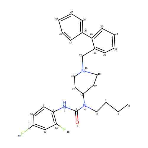 CCCCN(C(=O)Nc1ccc(F)cc1F)C1CCN(Cc2ccccc2-c2ccccc2)CC1